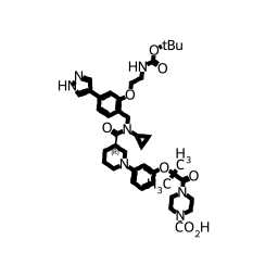 CC(C)(C)OC(=O)NCCOc1cc(-c2cn[nH]c2)ccc1CN(C(=O)[C@@H]1CCCN(c2cccc(OC(C)(C)C(=O)N3CCN(C(=O)O)CC3)c2)C1)C1CC1